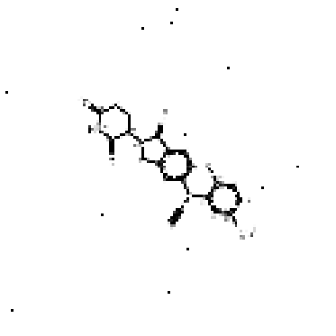 C#CC(c1ccc2c(c1)CN(C1CCC(=O)NC1=O)C2=O)c1cc(S(=O)(=O)O)ccc1C